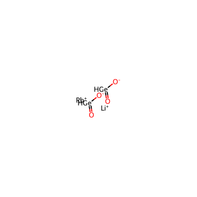 [Li+].[O]=[GeH][O-].[O]=[GeH][O-].[Rb+]